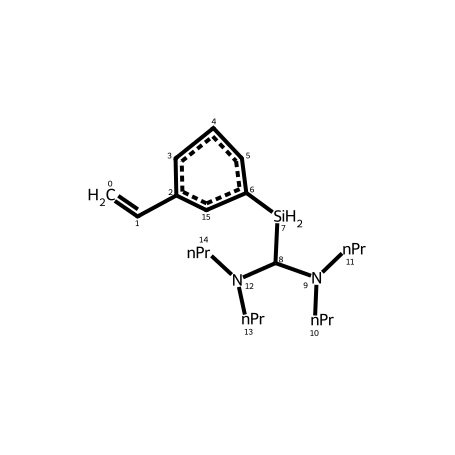 C=Cc1cccc([SiH2]C(N(CCC)CCC)N(CCC)CCC)c1